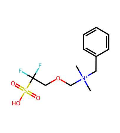 C[N+](C)(COCC(F)(F)S(=O)(=O)O)Cc1ccccc1